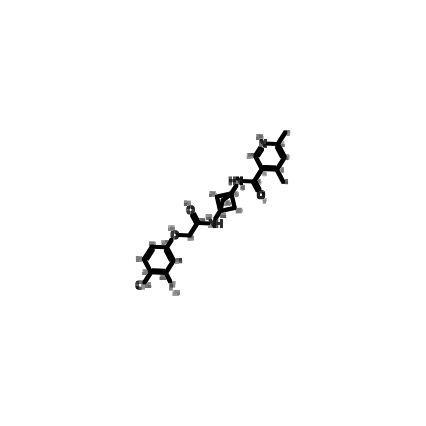 Cc1cc(C)c(C(=O)NC23CC(NC(=O)COc4ccc(Cl)c(F)c4)(C2)C3)cn1